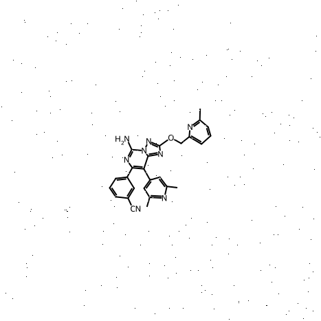 Cc1cc(-c2c(-c3cccc(C#N)c3)nc(N)n3nc(OCc4cccc(C)n4)nc23)cc(C)n1